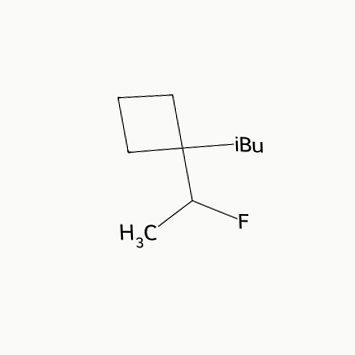 CCC(C)C1(C(C)F)CCC1